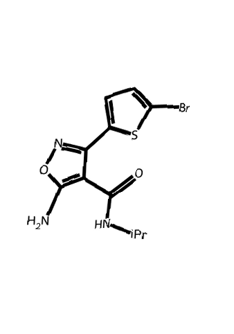 CC(C)NC(=O)c1c(-c2ccc(Br)s2)noc1N